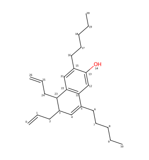 C=CCC1C=C(CCCCC)c2cc(O)c(CCCCC)cc2C1CC=C